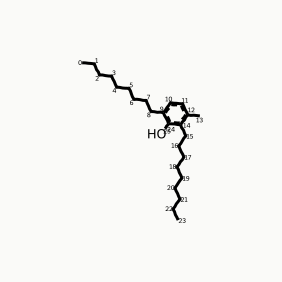 CCCCCCCCCc1ccc(C)c(CCCCCCCCC)c1O